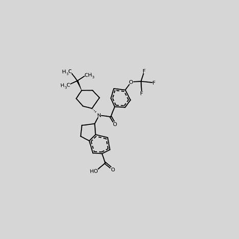 CC(C)(C)[C@H]1CC[C@H](N(C(=O)c2ccc(OC(F)(F)F)cc2)C2CCc3cc(C(=O)O)ccc32)CC1